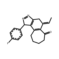 C/C=C1\CC2=C(C3=C1C(=O)CCCC3)C(c1ccc(F)cc1)N=N2